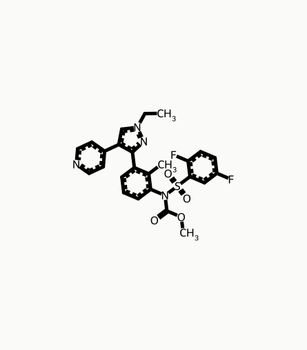 CCn1cc(-c2ccncc2)c(-c2cccc(N(C(=O)OC)S(=O)(=O)c3cc(F)ccc3F)c2C)n1